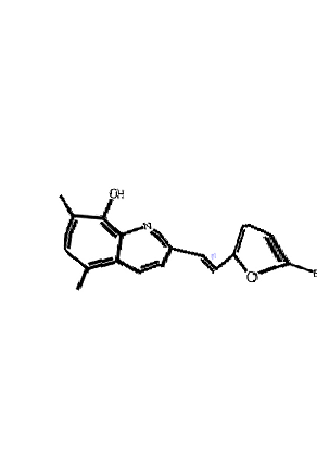 Cc1cc(C)c2ccc(/C=C/c3ccc(Br)o3)nc2c1O